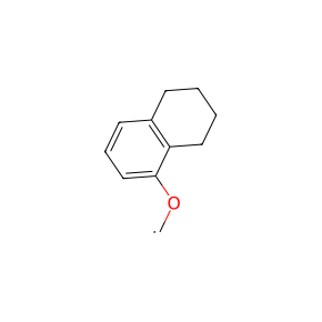 [CH2]Oc1cccc2c1CCCC2